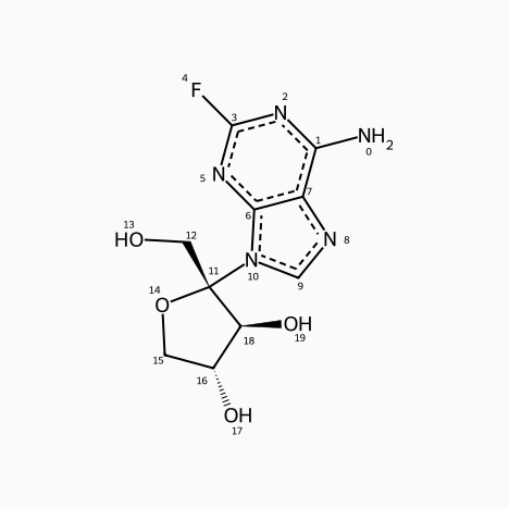 Nc1nc(F)nc2c1ncn2[C@@]1(CO)OC[C@@H](O)[C@@H]1O